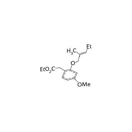 CC/C=C(\C)COc1cc(OC)ccc1CC(=O)OCC